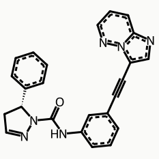 O=C(Nc1cccc(C#Cc2cnc3cccnn23)c1)N1N=CC[C@@H]1c1ccccc1